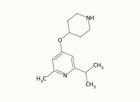 Cc1cc(OC2CCNCC2)cc(C(C)C)n1